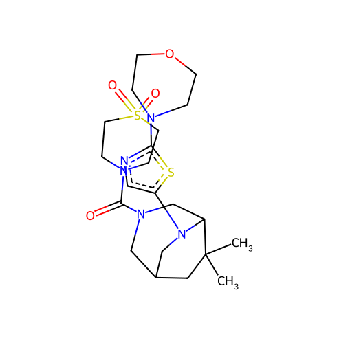 CC1(C)CC2CN(C(=O)N3CCS(=O)(=O)CC3)CC1N(c1cnc(N3CCOCC3)s1)C2